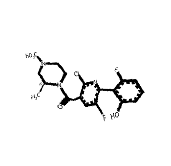 C[C@H]1CN(C(=O)O)CCN1C(=O)c1cc(F)c(-c2c(O)cccc2F)nc1Cl